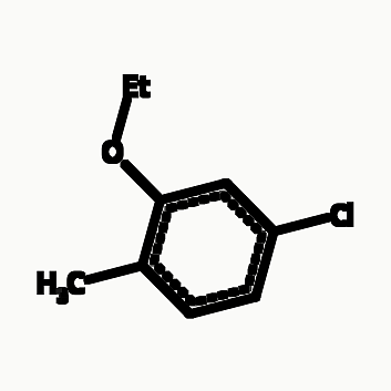 CCOc1cc(Cl)ccc1C